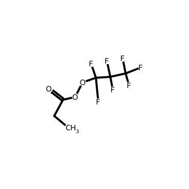 CCC(=O)OOC(F)(F)C(F)(F)C(F)(F)F